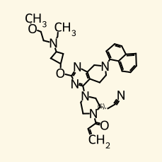 C=CC(=O)N1CCN(c2nc(OC3CC(N(CC)CCOC)C3)nc3c2CCN(c2cccc4ccccc24)C3)C[C@@H]1CC#N